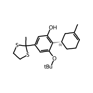 CC1=CCC[C@H](c2c(O)cc(C3(C)SCCS3)cc2OC(C)(C)C)C1